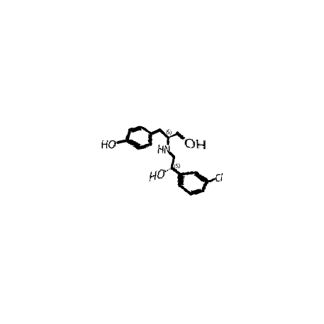 OC[C@H](Cc1ccc(O)cc1)NC[C@@H](O)c1cccc(Cl)c1